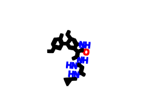 CCc1ccc(C)c(C2C=C3C(=CC2CC)NC(=O)/C3=C(/C)NC(=N)/C=C(/C)NCC2CC2)c1